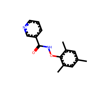 Cc1cc(C)c(ONC(=O)c2cccnc2)c(C)c1